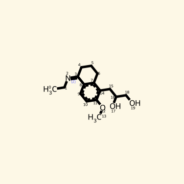 CC/N=C1/CCCc2c1ccc(OC)c2CC(O)CO